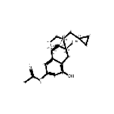 CC(=O)Oc1cc(O)c2c(c1)[C@]13CCN(CC4CC4)[C@H](C2)[C@@H]1CCOC3